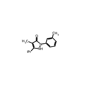 Cc1cccc(-n2[nH]c(C(C)C)c(C)c2=O)c1